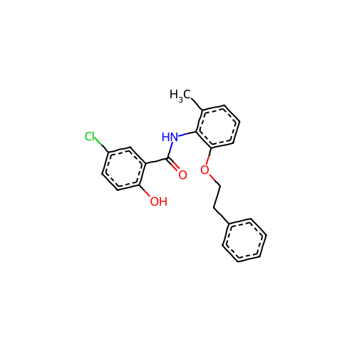 Cc1cccc(OCCc2ccccc2)c1NC(=O)c1cc(Cl)ccc1O